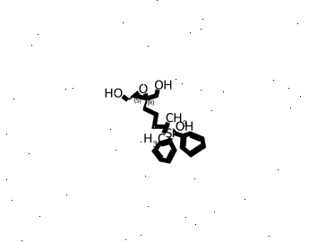 CC(C)(CCC[C@]1(CO)O[C@H]1CO)[Si](O)(c1ccccc1)c1ccccc1